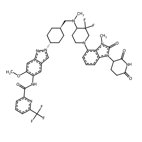 COc1cc2nn([C@H]3CC[C@H](CN(C)C4CCN(c5cccc6c5n(C)c(=O)n6C5CCC(=O)NC5=O)CC4(F)F)CC3)cc2cc1NC(=O)c1cccc(C(F)(F)F)n1